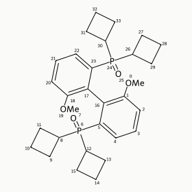 COc1cccc(P(=O)(C2CCC2)C2CCC2)c1-c1c(OC)cccc1P(=O)(C1CCC1)C1CCC1